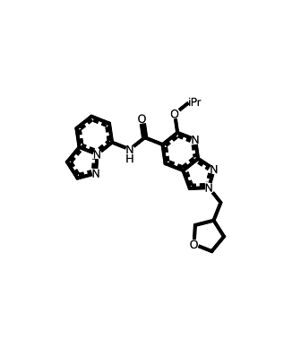 CC(C)Oc1nc2nn(CC3CCOC3)cc2cc1C(=O)Nc1cccc2ccnn12